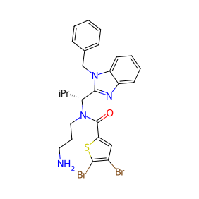 CC(C)[C@H](c1nc2ccccc2n1Cc1ccccc1)N(CCCN)C(=O)c1cc(Br)c(Br)s1